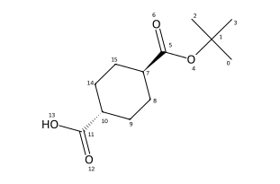 CC(C)(C)OC(=O)[C@H]1CC[C@H](C(=O)O)CC1